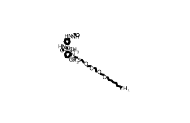 CCCCCCCCOCCOCCOCCOCCSCC(=O)Nc1c(C)ccc(S(=O)(=O)Nc2ccc(NNC=O)cc2)c1C